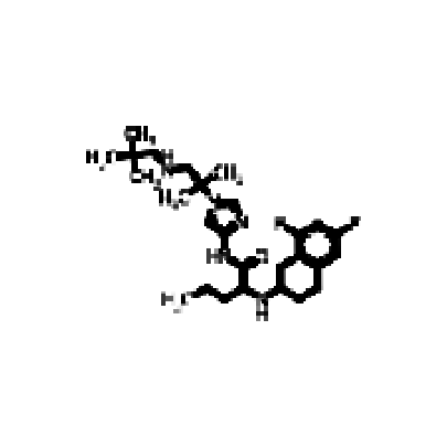 CCCC(NC1CCc2cc(F)cc(F)c2C1)C(=O)Nc1cn(C(C)(C)CNCC(C)(C)C)cn1